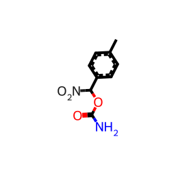 Cc1ccc(C(OC(N)=O)[N+](=O)[O-])cc1